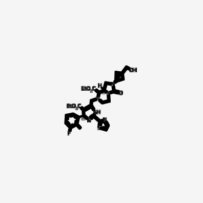 CCOC(=O)C1=C(CN2CCN3C(=O)N(C45CC(CO)(C4)C5)C[C@@H]3C2C(=O)OCC)NC(c2nccs2)=N[C@H]1c1cccc(F)c1C